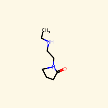 CCNCCN1CCCC1=O